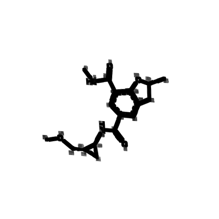 CNC(=O)c1cc(C(=O)NC2C[C@H]2COC)cc2c1OC(C)C2